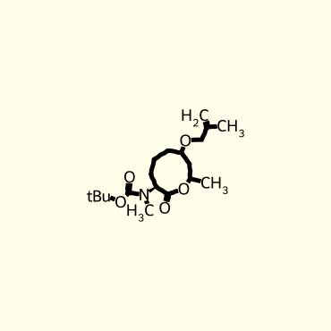 C=C(C)COC1CCC[C@H](N(C)C(=O)OC(C)(C)C)C(=O)OC(C)C1